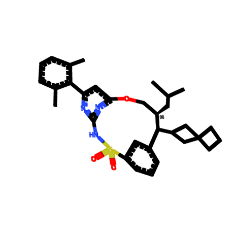 Cc1cccc(C)c1-c1cc2nc(n1)NS(=O)(=O)c1cccc(c1)C(C1CC3(CCC3)C1)[C@H](CC(C)C)CO2